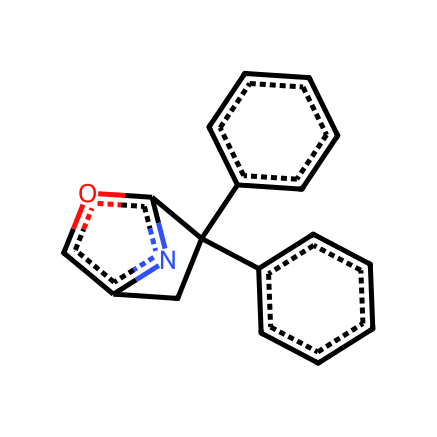 c1ccc(C2(c3ccccc3)Cc3coc2n3)cc1